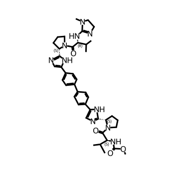 COC(=O)N[C@H](C(=O)N1CCC[C@H]1c1ncc(-c2ccc(-c3ccc(-c4cnc([C@@H]5CCCN5C(=O)[C@H](NC5=NCCN5C)C(C)C)[nH]4)cc3)cc2)[nH]1)C(C)C